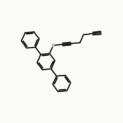 C#CCCC#COc1cc(-c2ccccc2)ccc1-c1ccccc1